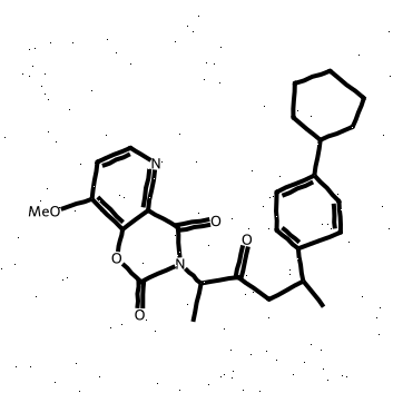 COc1ccnc2c(=O)n(C(C)C(=O)CC(C)c3ccc(C4CCCCC4)cc3)c(=O)oc12